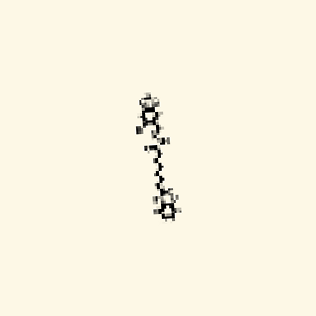 O=C(CCCCCCC(=O)Nc1ccccc1O)N/N=C/c1cc2c(cc1Br)OCO2